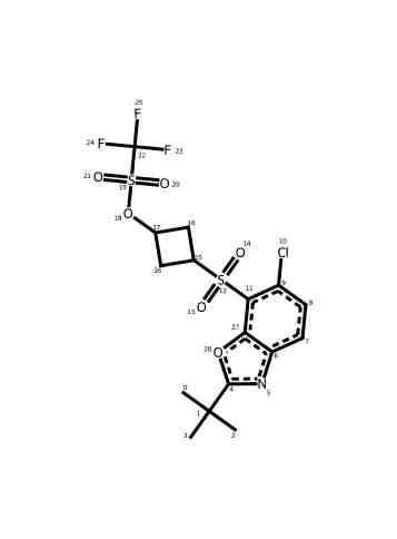 CC(C)(C)c1nc2ccc(Cl)c(S(=O)(=O)C3CC(OS(=O)(=O)C(F)(F)F)C3)c2o1